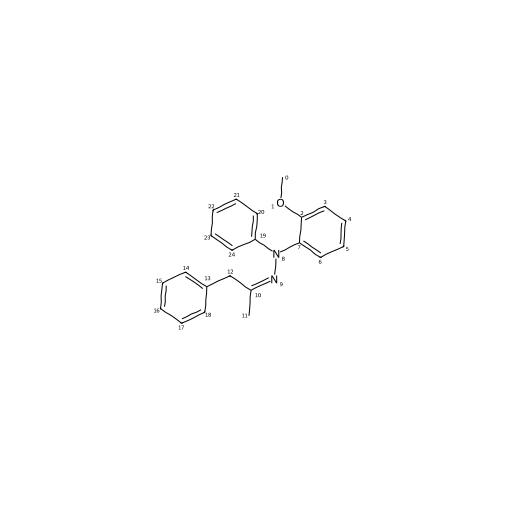 COc1ccccc1N(N=C(C)Cc1ccccc1)c1ccccc1